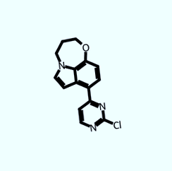 Clc1nccc(-c2ccc3c4c2ccn4CCCO3)n1